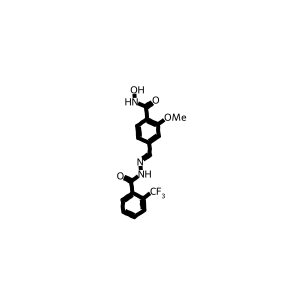 COc1cc(C=NNC(=O)c2ccccc2C(F)(F)F)ccc1C(=O)NO